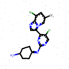 NC1CCC(=Nc2ncc(Cl)c(-c3cnc4c(Br)cc(C(F)(F)F)cn34)n2)CC1